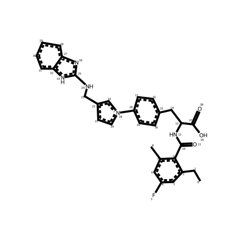 CCc1cc(F)cc(C)c1C(=O)NC(Cc1ccc(-n2ccc(CNc3nc4ccccc4[nH]3)c2)cc1)C(=O)O